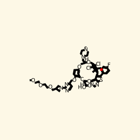 COCCOCCOCC1CN(c2nccc(COc3ccc4cc3C[C@@H](C(=O)O)Oc3ncnc5sc(-c6ccc(F)cc6)c(c35)-c3c(C)c(Cl)c(c(Cl)c3C)O[C@H](CN3CCN(C)CC3)CO4)n2)C1